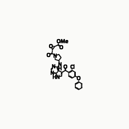 COC(=O)C1OC1C(=O)N1CCC(Nc2ncnc3[nH]cc(C(=O)c4ccc(Oc5ccccc5)cc4Cl)c23)C1